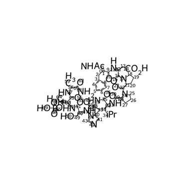 CC(=O)N[C@@H](Cc1ccccc1)C(=O)N[C@@H](CC(=O)O)C(=O)N1CCCC1C(=O)N1CCC[C@H]1C(=O)N[C@@H](CC(C)C)C(=O)N[C@@H](Cc1cnc[nH]1)C(=O)N[C@@H](CO)C(=O)N[C@H](C(=O)NC(C)C(N)=O)[C@@H](C)OP(=O)(O)O